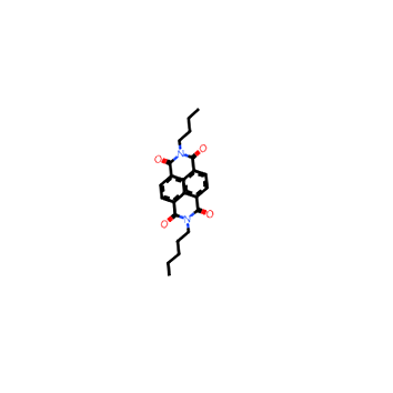 CCCCCN1C(=O)c2ccc3c4c(ccc(c24)C1=O)C(=O)N(CCCC)C3=O